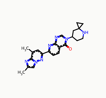 Cc1cn2nc(-c3ccc4c(=O)n(C5CCNC6(CC6)C5)cnc4n3)cc(C)c2n1